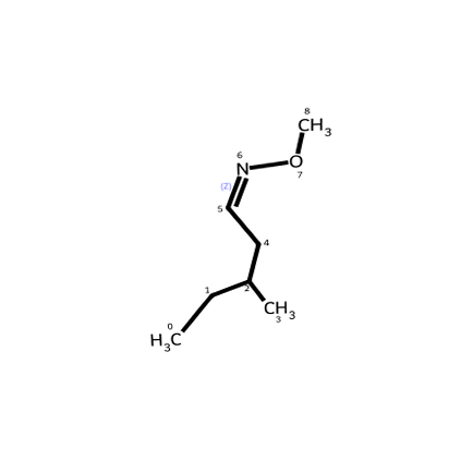 CCC(C)C/C=N\OC